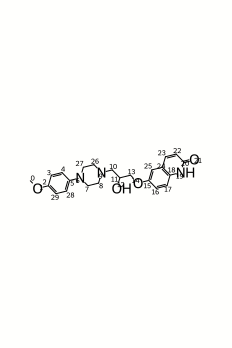 COc1ccc(N2CCN(CC(O)COc3ccc4[nH]c(=O)ccc4c3)CC2)cc1